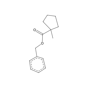 CC1(C(=O)OCc2ccccc2)CCCC1